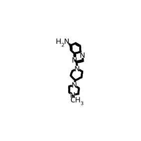 CN1CCN(C2CCN(c3cnc4ccc(N)cc4n3)CC2)CC1